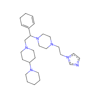 C1=CC(C(CN2CCC(N3CCCCC3)CC2)N2CCN(CCn3ccnc3)CC2)=CCC1